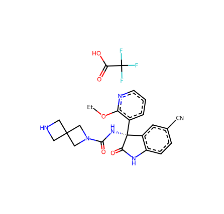 CCOc1ncccc1[C@]1(NC(=O)N2CC3(CNC3)C2)C(=O)Nc2ccc(C#N)cc21.O=C(O)C(F)(F)F